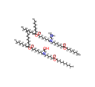 CCCCCCCCCCCOC(=O)CCCCCN(CCO)CCCCCCCC(=O)OC(CCCCCCCC)CCCCCCCC.CCCCCCCCCOC(=O)CCCCCCCN(CCCCCCCC(=O)OC(CCCCCCCC)CCCCCCCC)CCN(C)C